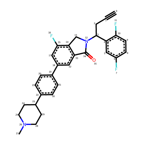 C#CCC(c1cc(F)ccc1F)N1Cc2c(F)cc(-c3ccc(C4CCN(C)CC4)cc3)cc2C1=O